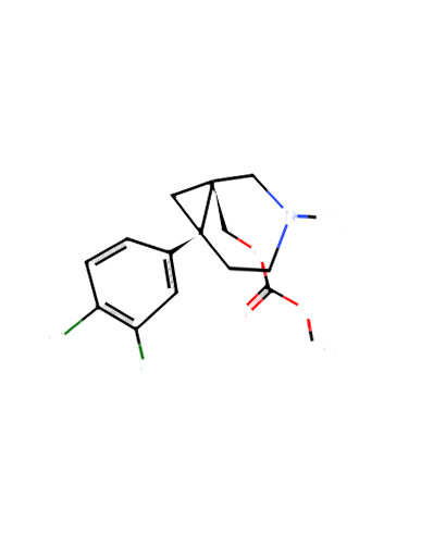 CC(C)(C)OC(=O)OC[C@@]12CN(C(=O)O)CC[C@]1(c1ccc(Cl)c(Cl)c1)C2